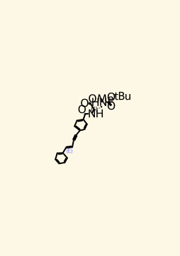 COC(=O)[C@H](CNC(=O)OC(C)(C)C)NC(=O)c1ccc(C#C/C=C/c2ccccc2)cc1